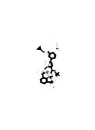 COC(=O)c1cccc(C(=O)OCc2nc(-c3ccc(OC(F)F)c(OCC4CC4)c3)oc2C(C)NC(=O)OC(C)(C)C)c1F